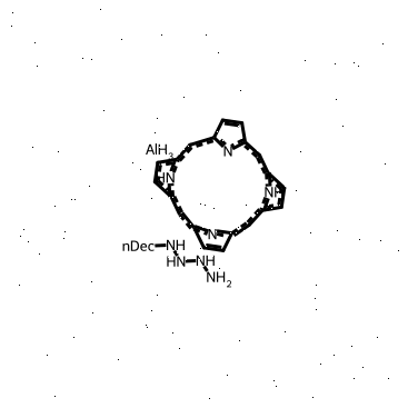 C1=Cc2cc3ccc(cc4nc(cc5ccc(cc1n2)[nH]5)C=C4)[nH]3.CCCCCCCCCCNNNN.[AlH3]